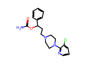 NC(=O)OC(CCN1CCN(c2ncccc2Cl)CC1)c1ccccc1